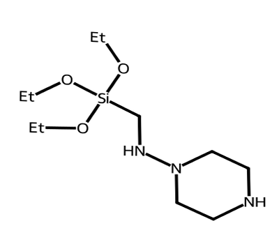 CCO[Si](CNN1CCNCC1)(OCC)OCC